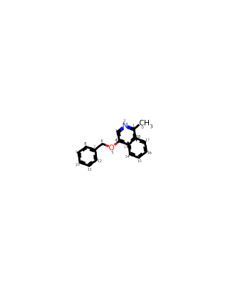 Cc1ncc(OCc2ccccc2)c2ccccc12